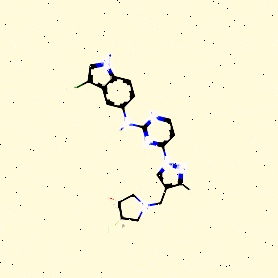 Cc1nn(-c2ccnc(N(C)c3ccc4c(c3)c(Cl)cn4C)n2)cc1CN1C[C@@H](F)[C@@H](O)C1